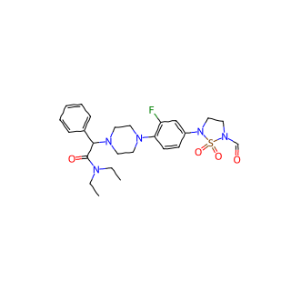 CCN(CC)C(=O)C(c1ccccc1)N1CCN(c2ccc(N3CCN(C=O)S3(=O)=O)cc2F)CC1